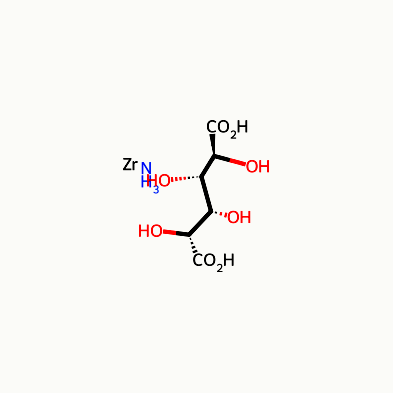 N.O=C(O)[C@@H](O)[C@@H](O)[C@H](O)[C@@H](O)C(=O)O.[Zr]